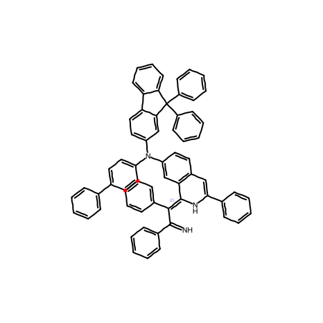 N=C(/C(=C1\NC(c2ccccc2)=Cc2ccc(N(c3ccc(-c4ccccc4)cc3)c3ccc4c(c3)C(c3ccccc3)(c3ccccc3)c3ccccc3-4)cc21)c1ccccc1)c1ccccc1